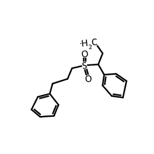 [CH2]CC(c1ccccc1)S(=O)(=O)CCCc1ccccc1